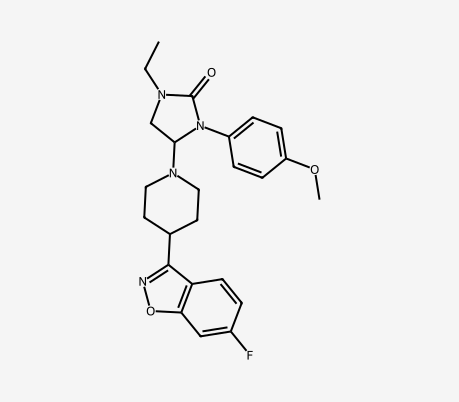 CCN1CC(N2CCC(c3noc4cc(F)ccc34)CC2)N(c2ccc(OC)cc2)C1=O